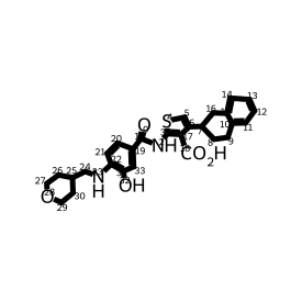 O=C(Nc1scc(C2CCc3ccccc3C2)c1C(=O)O)c1ccc(NCC2CCOCC2)c(O)c1